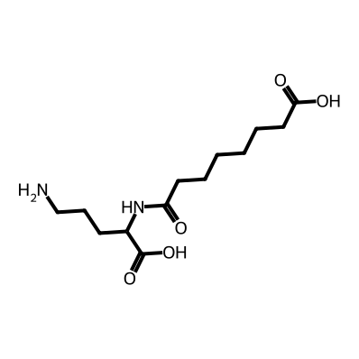 NCCCC(NC(=O)CCCCCCC(=O)O)C(=O)O